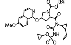 C=CC1CC1N(C(=O)NS(=O)(=O)OC1CC1)C(=O)C1CC(Oc2nccc3cc(OC)ccc23)CN1C(=O)OC(C)(C)C